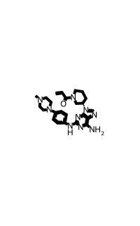 C=CC(=O)N1CCC[C@H](n2cnc3c(N)nc(Nc4ccc(N5CCN(C)CC5)cc4)nc32)C1